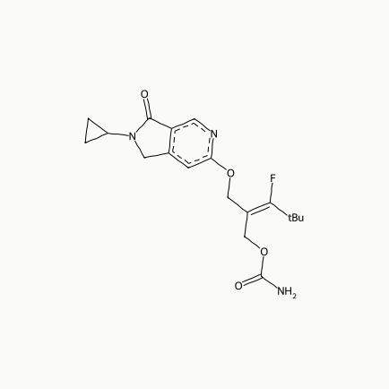 CC(C)(C)C(F)=C(COC(N)=O)COc1cc2c(cn1)C(=O)N(C1CC1)C2